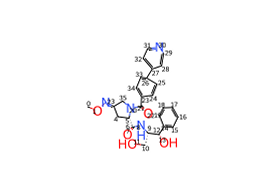 CO/N=C1\C[C@@H](C(=O)N[C@@H](CO)[C@@H](O)c2ccccc2)N(C(=O)c2ccc(-c3ccncc3)cc2)C1